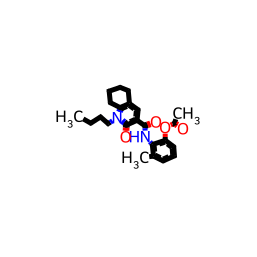 CCCCn1c2c(cc(C(=O)Nc3c(C)cccc3OC(C)=O)c1=O)CCCC2